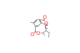 CCC1COC(=O)c2cc(C)c(cc2C)C(=O)OC1C